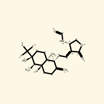 C=C1CC[C@@H]2[C@@H](C)[C@](O)(C(F)(F)F)CC[C@@]2(C)[C@@H]1C/C=C1/C(=O)OC[C@H]1NC=O